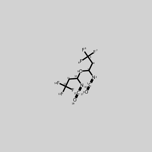 O=C=NC(CC(F)(F)F)OC(CC(F)(F)F)N=C=O